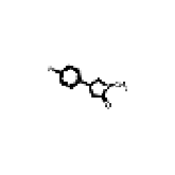 CN1CC(c2ccc(F)cc2)CC1=O